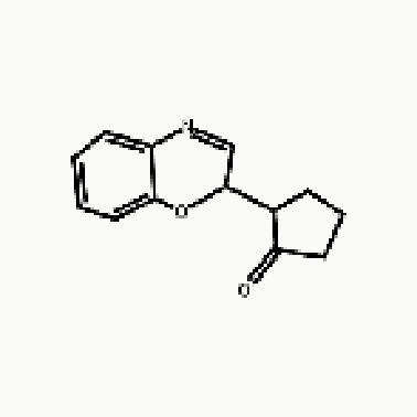 O=C1CCCC1C1C=Nc2ccccc2O1